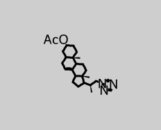 CC(=O)O[C@H]1CC[C@@]2(C)C(CC=C3C2CC[C@@]2(C)C3CCC2[C@H](C)Cn2cncn2)C1